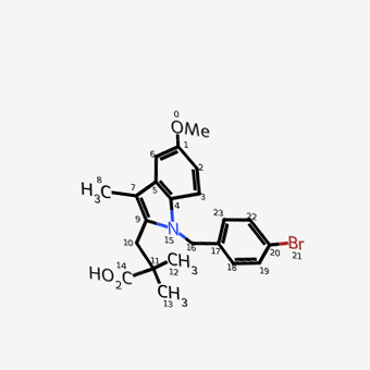 COc1ccc2c(c1)c(C)c(CC(C)(C)C(=O)O)n2Cc1ccc(Br)cc1